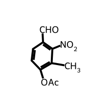 CC(=O)Oc1ccc(C=O)c([N+](=O)[O-])c1C